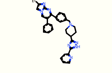 CCc1cn2cc(-c3ccccc3)c(-c3ccc(CN4CCC(c5n[nH]c(-c6ccccn6)n5)CC4)cc3)nc2n1